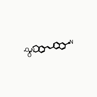 COC(=O)N1CCc2cc(C=Cc3ccc4cc(C#N)ccc4c3)ccc2C1